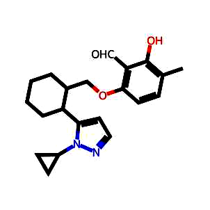 Cc1ccc(OCC2CCCCC2c2ccnn2C2CC2)c(C=O)c1O